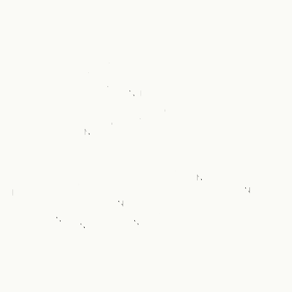 N#CC1(NS(=O)(=O)c2cc(N3CCN(C=O)CC3)c3cnn(-c4nnc(C(F)F)s4)c3c2)CC1